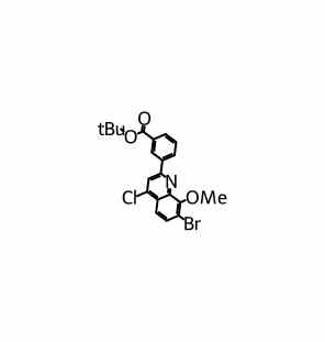 COc1c(Br)ccc2c(Cl)cc(-c3cccc(C(=O)OC(C)(C)C)c3)nc12